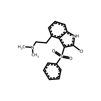 CN(C)CCc1cccc2[nH]c(Cl)c(S(=O)(=O)c3ccccc3)c12